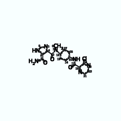 CN(C(=O)c1nc[nH]c1C(N)=O)c1ccc(NC(=O)c2nccnc2Cl)cc1